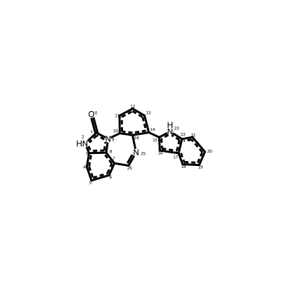 O=c1[nH]c2cccc3c2n1-c1cccc(-c2cc4ccccc4[nH]2)c1N=C3